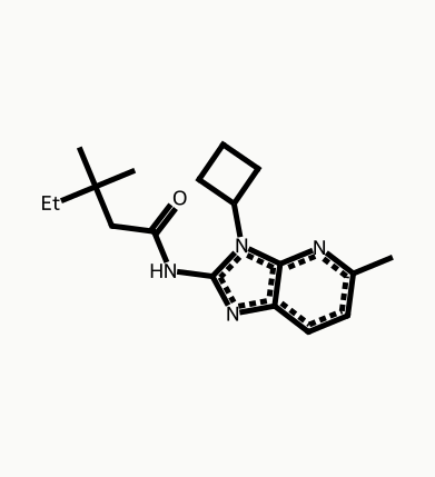 CCC(C)(C)CC(=O)Nc1nc2ccc(C)nc2n1C1CCC1